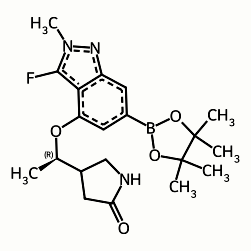 C[C@@H](Oc1cc(B2OC(C)(C)C(C)(C)O2)cc2nn(C)c(F)c12)C1CNC(=O)C1